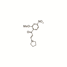 COc1cc([N+](=O)[O-])ccc1C(=O)C=CN1CCCC1